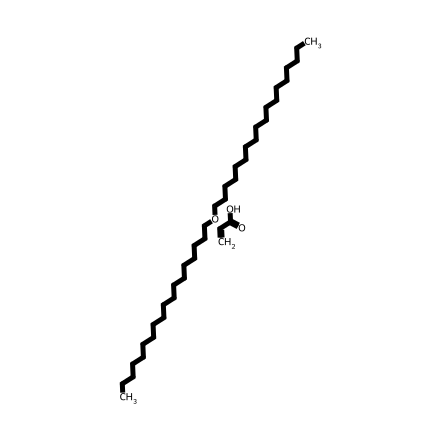 C=CC(=O)O.CCCCCCCCCCCCCCCCCCOCCCCCCCCCCCCCCCCCC